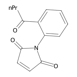 CCCC(=O)c1ccccc1N1C(=O)C=CC1=O